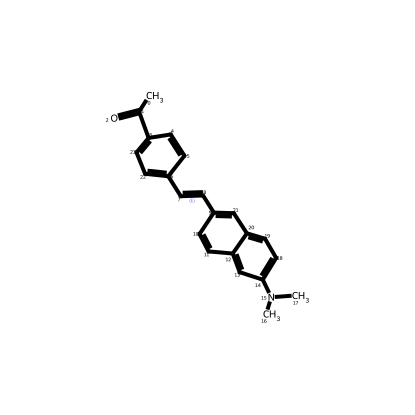 CC(=O)c1ccc(/C=C/c2ccc3cc(N(C)C)ccc3c2)cc1